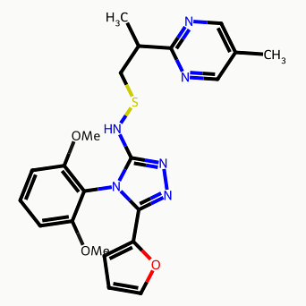 COc1cccc(OC)c1-n1c(NSCC(C)c2ncc(C)cn2)nnc1-c1ccco1